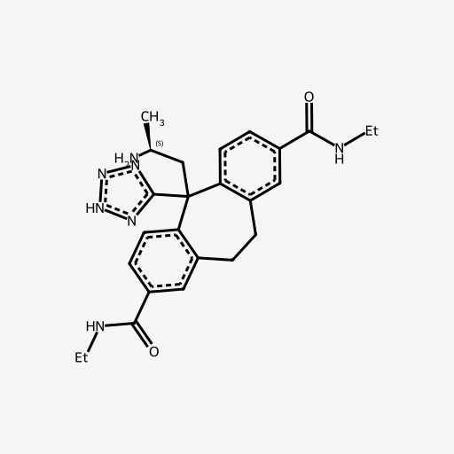 CCNC(=O)c1ccc2c(c1)CCc1cc(C(=O)NCC)ccc1C2(C[C@H](C)N)c1nn[nH]n1